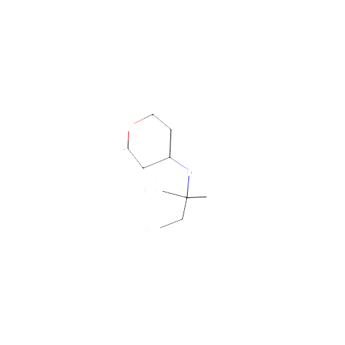 CCC(C)(C)NC1CCOCC1